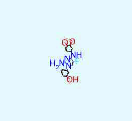 NC1N=C(Nc2ccc3c(c2)OCCO3)C(F)=CN1c1cccc(O)c1